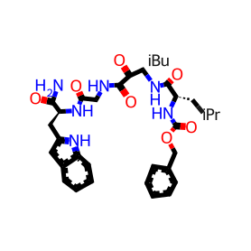 CC[C@H](C)C(NC(=O)[C@H](CC(C)C)NC(=O)OCc1ccccc1)C(=O)C(=O)NCC(=O)N[C@@H](Cc1cc2ccccc2[nH]1)C(N)=O